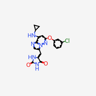 O=C1NC(=O)/C(=C/c2cnc3c(NC4CC4)cc(Oc4cccc(Cl)c4)nn23)N1